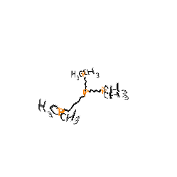 CP(C)CCCCCCP(CCCCCCP(C)C)CCCCCCP(C)C